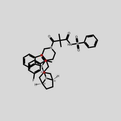 Cc1nc2ccccc2n1[C@H]1C[C@H]2CC[C@@H](C1)N2CCC1(c2cccc(F)c2)CCN(C(=O)C(C)(C)C(=O)NS(=O)(=O)c2ccccc2)CC1